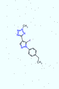 CCc1ccc(-n2ncc(-c3nnn(C)n3)c2I)cc1